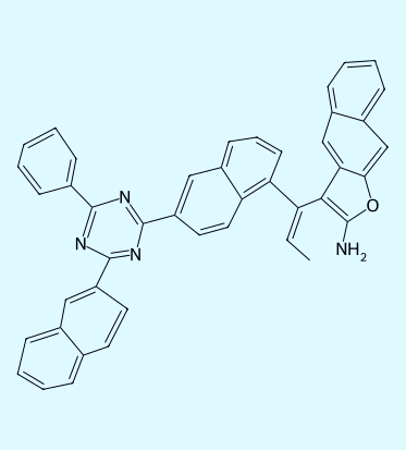 C/C=C(/c1cccc2cc(-c3nc(-c4ccccc4)nc(-c4ccc5ccccc5c4)n3)ccc12)c1c(N)oc2cc3ccccc3cc12